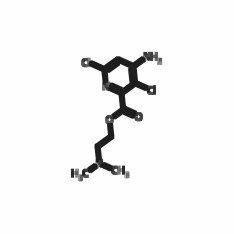 CN(C)CCOC(=O)c1nc(Cl)cc(N)c1Cl